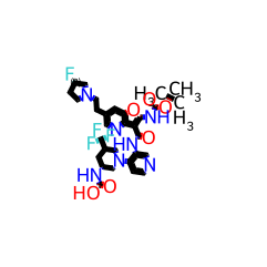 CC(C)(C)OC(=O)Nc1oc2cc(CCN3CC[C@@H](F)C3)cnc2c1C(=O)Nc1cnccc1N1CC(NC(=O)O)CC(C(F)(F)F)C1